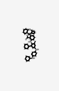 Cc1cc(Nc2ccc(Nc3ccccc3)cc2)cc(-c2ccccc2)c1Nc1cccc2c1C(=O)OC21c2ccccc2Oc2ccccc21